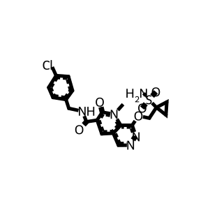 Cn1c(=O)c(C(=O)NCc2ccc(Cl)cc2)cc2cnnc(OCC3(S(N)(=O)=O)CC3)c21